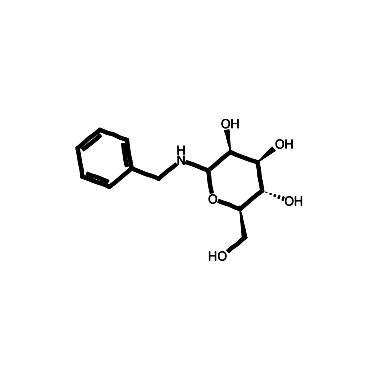 OC[C@H]1OC(NCc2ccccc2)[C@@H](O)[C@@H](O)[C@@H]1O